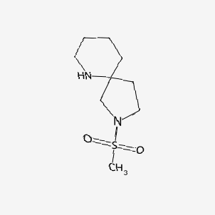 CS(=O)(=O)N1CCC2(CCCCN2)C1